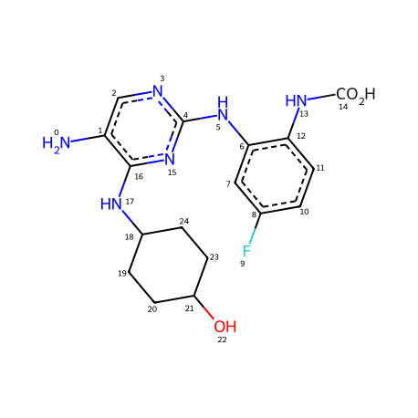 Nc1cnc(Nc2cc(F)ccc2NC(=O)O)nc1NC1CCC(O)CC1